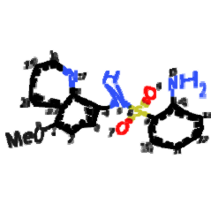 COc1ccc(NS(=O)(=O)c2ccccc2N)c2ncccc12